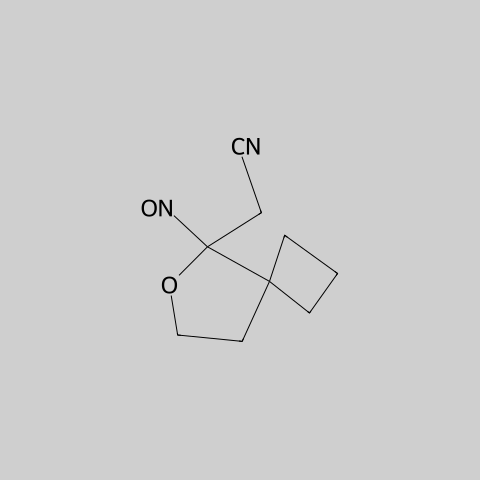 N#CCC1(N=O)OCCC12CCC2